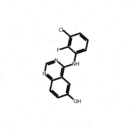 Oc1ccc2ncnc(Nc3cccc(Cl)c3F)c2c1